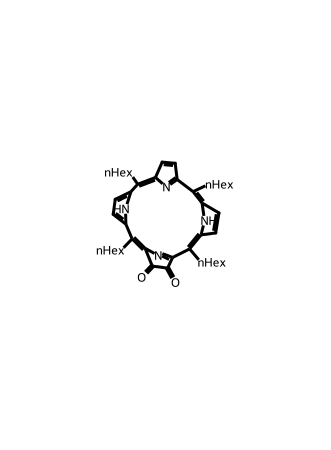 CCCCCCc1c2nc(c(CCCCCC)c3ccc([nH]3)c(CCCCCC)c3nc(c(CCCCCC)c4ccc1[nH]4)C(=O)C3=O)C=C2